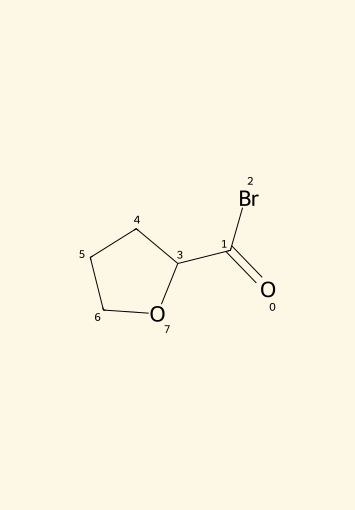 O=C(Br)C1CCCO1